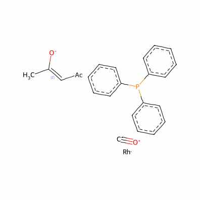 CC(=O)/C=C(/C)[O-].[C-]#[O+].[Rh].c1ccc(P(c2ccccc2)c2ccccc2)cc1